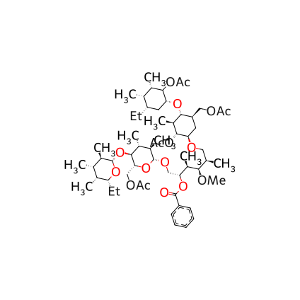 CC[C@H]1C[C@@H](O[C@@H]2[C@@H](COC(C)=O)C[C@@H](OC[C@@H](C)[C@@H](OC)[C@H](C)[C@@H](CO[C@@H]3O[C@H](COC(C)=O)[C@@H](O[C@@H]4O[C@H](CC)[C@H](C)[C@H](C)[C@H]4C)[C@H](C)[C@H]3C)OC(=O)c3ccccc3)[C@H](OC(C)=O)[C@H]2C)C(OC(C)=O)[C@@H](C)[C@H]1C